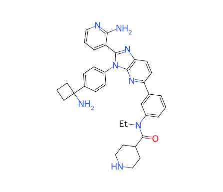 CCN(C(=O)C1CCNCC1)c1cccc(-c2ccc3nc(-c4cccnc4N)n(-c4ccc(C5(N)CCC5)cc4)c3n2)c1